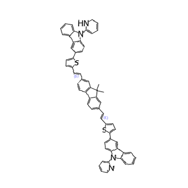 CC1(C)c2cc(/C=C/c3ccc(-c4ccc5c(c4)c4ccccc4n5C4=CC=CCN4)s3)ccc2-c2ccc(/C=C/c3ccc(-c4ccc5c(c4)c4ccccc4n5-c4ccccn4)s3)cc21